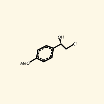 COc1ccc([C@@H](O)CCl)cc1